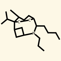 CCCCC1C2CCC(C)C(C(C)C)(CC2)C2CC(C2)N1CCC